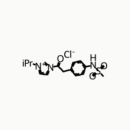 CC(C)[n+]1ccn(C(=O)Cc2ccc(NS(C)(=O)=O)cc2)c1.[Cl-]